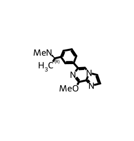 CN[C@H](C)c1cccc(-c2cn3ccnc3c(OC)n2)c1